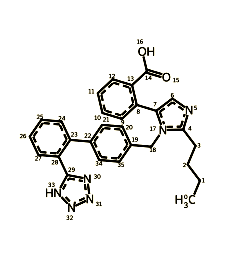 CCCCc1ncc(-c2ccccc2C(=O)O)n1Cc1ccc(-c2ccccc2-c2nnn[nH]2)cc1